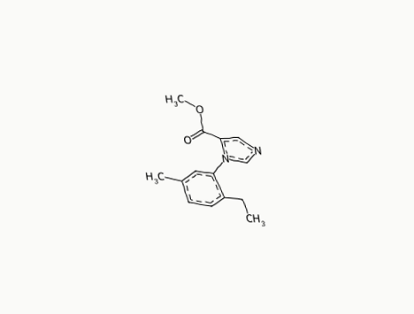 CCc1ccc(C)cc1-n1cncc1C(=O)OC